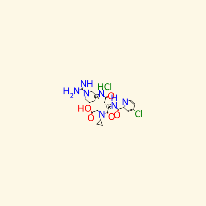 CN(C(=O)C[C@H](NC(=O)c1cc(Cl)ccn1)C(=O)N(CC(=O)O)C1CC1)[C@H]1CCCN(C(=N)N)C1.Cl